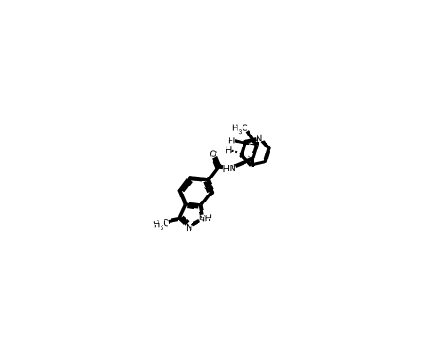 Cc1n[nH]c2cc(C(=O)N[C@@H]3C4CCN(CC4)[C@H]3C)ccc12